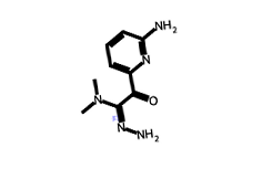 CN(C)/C(=N/N)C(=O)c1cccc(N)n1